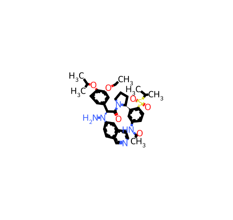 CCOc1cc([C@@H](C(=O)N2CCC[C@@H]2c2cc(NC(C)=O)ccc2S(=O)(=O)C(C)C)N(N)c2ccc3cnccc3c2)ccc1OC(C)C